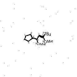 CO/C(=C\C(OC)C1CCCC1)C(C)(C)C